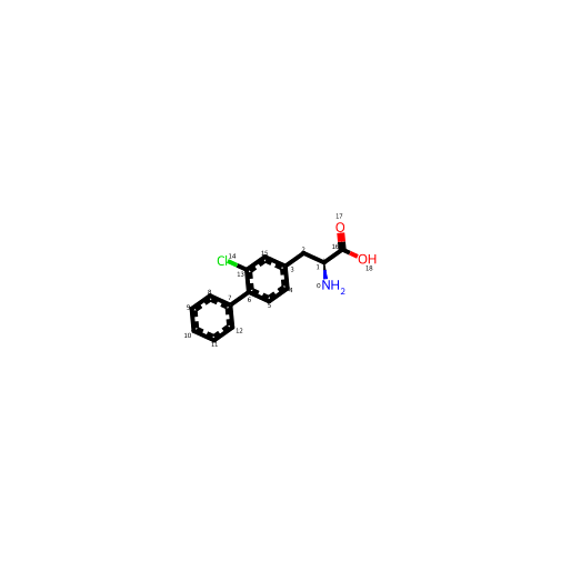 N[C@@H](Cc1ccc(-c2ccccc2)c(Cl)c1)C(=O)O